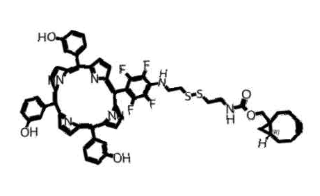 O=C(NCCSSCCNc1c(F)c(F)c(-c2c3nc(c(-c4cccc(O)c4)c4ccc([nH]4)c(-c4cccc(O)c4)c4nc(c(-c5cccc(O)c5)c5ccc2[nH]5)C=C4)C=C3)c(F)c1F)OCC12CCC#CCC[C@@H]1C2